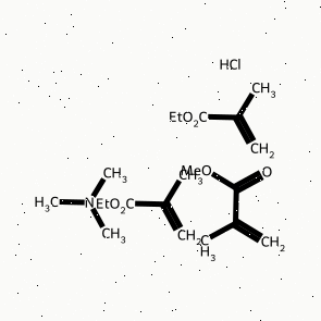 C=C(C)C(=O)OC.C=C(C)C(=O)OCC.C=C(C)C(=O)OCC.CN(C)C.Cl